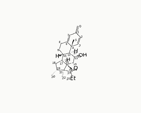 C=C1C=C[C@@]2(C)C(=C1)CC[C@@H]1[C@@H]2[C@@H](O)C[C@@]2(C)[C@H]1C[C@@H](C)[C@]2(C)C(=O)CC